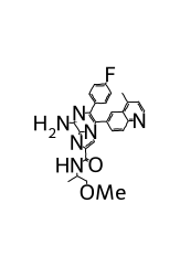 COCC(C)NC(=O)c1cn2c(-c3ccc4nccc(C)c4c3)c(-c3ccc(F)cc3)nc(N)c2n1